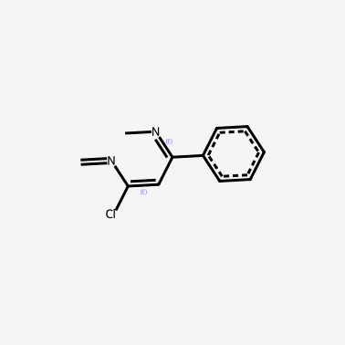 C=N/C(Cl)=C\C(=N/C)c1ccccc1